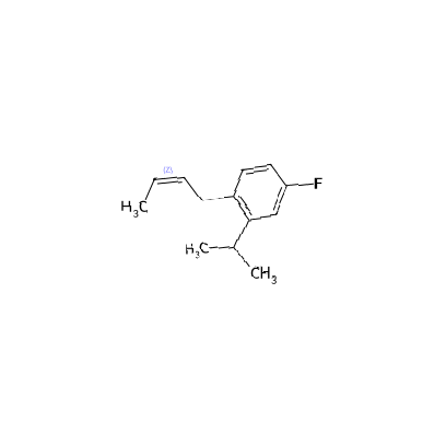 C/C=C\Cc1ccc(F)cc1C(C)C